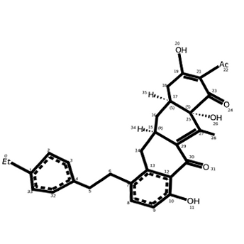 CCc1ccc(CCc2ccc(O)c3c2C[C@H]2C[C@H]4CC(O)=C(C(C)=O)C(=O)[C@@]4(O)C(C)=C2C3=O)cc1